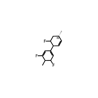 CC1C(F)=CC(C2C=C[C@@H](C)CC2F)=CC1F